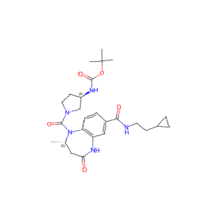 C[C@H]1CC(=O)Nc2cc(C(=O)NCCC3CC3)ccc2N1C(=O)N1CC[C@@H](NC(=O)OC(C)(C)C)C1